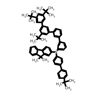 CC(C)(C)c1ccc(-c2ccc(N(c3cccc(-c4cccc(-c5cc(-c6cc(C(C)(C)C)cc(C(C)(C)C)c6)cc(C(C)(C)C)c5)c4)c3)c3ccc4c(c3)C(C)(C)c3ccccc3-4)cc2)cc1